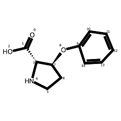 O=C(O)[C@H]1NCC[C@@H]1Oc1ccccc1